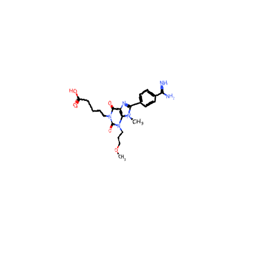 COCCCn1c(=O)n(CCCCC(=O)O)c(=O)c2nc(-c3ccc(C(=N)N)cc3)n(C)c21